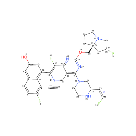 C#Cc1c(F)ccc2cc(O)cc(-c3ncc4c(N5CCNC(/C=C\F)C5)nc(OC[C@@]56CCCN5C[C@H](F)C6)nc4c3F)c12